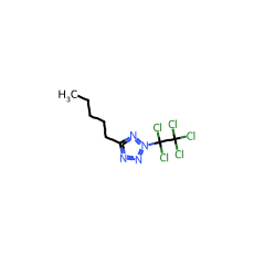 CCCCCc1nnn(C(Cl)(Cl)C(Cl)(Cl)Cl)n1